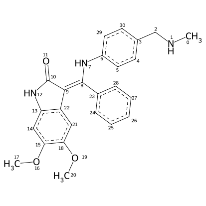 CNCc1ccc(N/C(=C2\C(=O)Nc3cc(OC)c(OC)cc32)c2ccccc2)cc1